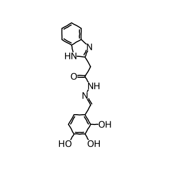 O=C(Cc1nc2ccccc2[nH]1)NN=Cc1ccc(O)c(O)c1O